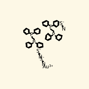 N#C[S-].N#C[S-].N#C[S-].[Au+3].c1ccc(P(CCP(c2ccccc2)c2ccccc2)c2ccccc2)cc1.c1ccc(P(CCP(c2ccccc2)c2ccccc2)c2ccccc2)cc1